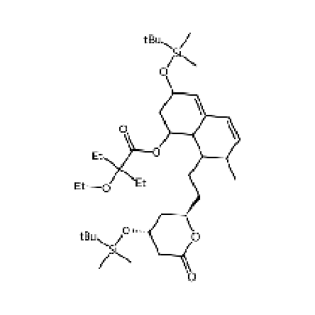 CCOC(CC)(CC)C(=O)OC1CC(O[Si](C)(C)C(C)(C)C)C=C2C=CC(C)C(CC[C@@H]3C[C@@H](O[Si](C)(C)C(C)(C)C)CC(=O)O3)C21